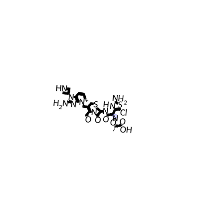 C[C@H](O/N=C(\C(=O)NC1C(=O)N2C(C=O)=C(C[n+]3cccc4c3nc(N)n4C3CNC3)CSC12)c1nc(N)sc1Cl)C(=O)O